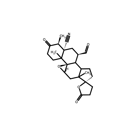 C[C@@H]1C(=O)CCC2(C)[C@]1(C#N)C[C@@H](C=O)C1C3CC[C@@]4(CCC(=O)O4)C3(C)C[C@H]3O[C@@]132